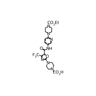 CCOC(=O)N1CCN(c2ccc(NC(=O)c3oc(N4CCN(C(=O)O)CC4)nc3C(F)(F)F)cn2)CC1